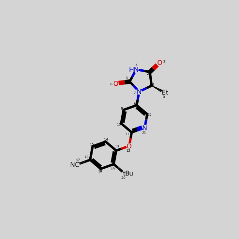 CC[C@@H]1C(=O)NC(=O)N1c1ccc(Oc2ccc(C#N)cc2C(C)(C)C)nc1